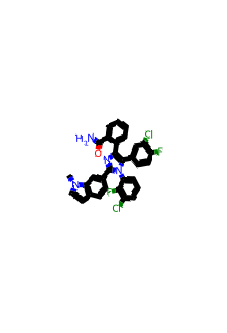 Cn1ccc2ccc(-c3nc(-c4ccccc4C(N)=O)c(-c4ccc(F)c(Cl)c4)n3-c3cccc(Cl)c3F)cc21